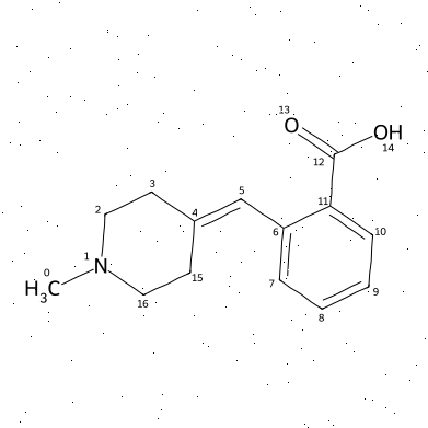 CN1CCC(=Cc2ccccc2C(=O)O)CC1